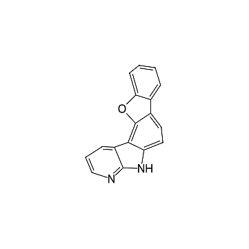 c1ccc2c(c1)oc1c2ccc2[nH]c3ncccc3c21